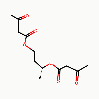 CC(=O)CC(=O)OCC[C@@H](C)OC(=O)CC(C)=O